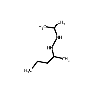 CCCC(C)NNC(C)C